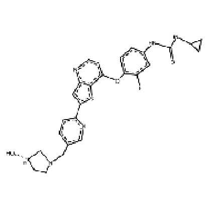 O=C(Nc1ccc(Oc2ccnc3cc(-c4ccc(CN5CC[C@H](O)C5)cn4)sc23)c(F)c1)NC1CC1